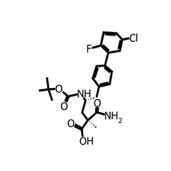 CC(C)(C)OC(=O)N[C@H](Cc1ccc(-c2cc(Cl)ccc2F)cc1)C[C@@](C)(C(N)=O)C(=O)O